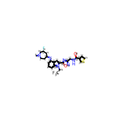 CN1CC/C(=N\c2cccc3c2cc(-c2nc(CNC(=O)c4ccsc4)no2)n3CC(F)(F)F)C[C@@H](F)C1